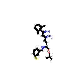 CC1=CCCC(C)=C1C(=N)/C=C(\N)CC[C@@H](COCC(C)C)NCc1cccc(S)c1